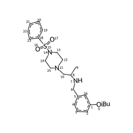 CC(C)COc1cccc(CNC(C)CN2CCN(S(=O)(=O)c3ccccc3)CC2)c1